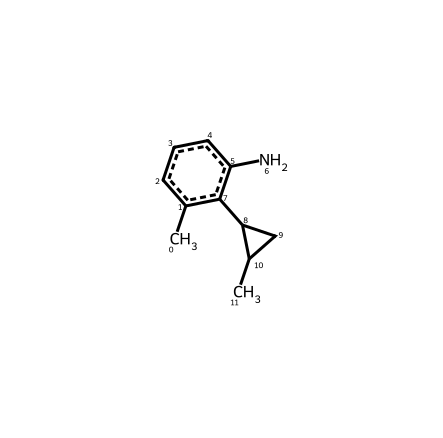 Cc1cccc(N)c1C1CC1C